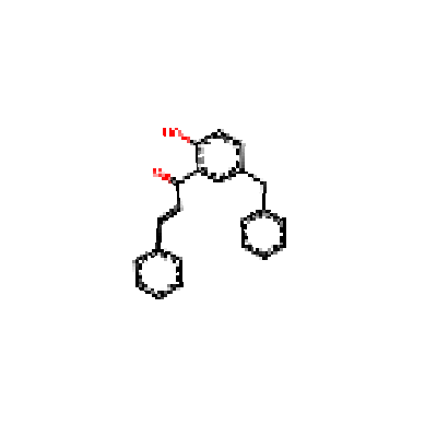 O=C(/C=C/c1ccccc1)c1cc(Cc2ccccc2)ccc1O